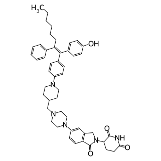 CCCCCC/C(=C(\c1ccc(O)cc1)c1ccc(N2CCC(CN3CCN(c4ccc5c(c4)CN(C4CCC(=O)NC4=O)C5=O)CC3)CC2)cc1)c1ccccc1